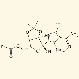 [2H]c1cc([C@]2(C#N)O[C@H](COC(=O)C(C)C)[C@H]3OC(C)(C)O[C@H]32)n2ncnc(N)c12